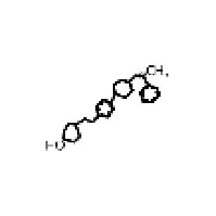 C[C@H](CC1CCC(c2ccc(CCC3CCC(O)CC3)cc2)CC1)c1ccccc1